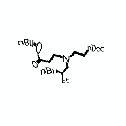 CCCCCCCCCCCCN(CCC(=O)OCCCC)CC(CC)CCCC